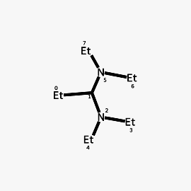 CCC(N(CC)CC)N(CC)CC